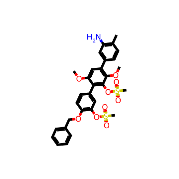 COc1cc(-c2ccc(C)c(N)c2)c(OC)c(OS(C)(=O)=O)c1-c1ccc(OCc2ccccc2)c(OS(C)(=O)=O)c1